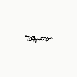 CN(C)Cc1c(OCC2CC2)ccc2c(CCC3CCN(Cc4cccc(C#N)c4)CC3)noc12